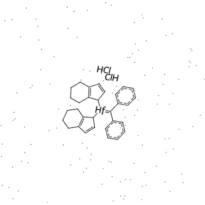 C1=C[CH]([Hf](=[C](c2ccccc2)c2ccccc2)[CH]2C=CC3=C2CCCC3)C2=C1CCCC2.Cl.Cl